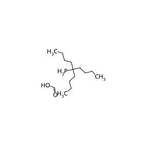 CCCCC(P)(CCCC)CCCC.O=CO